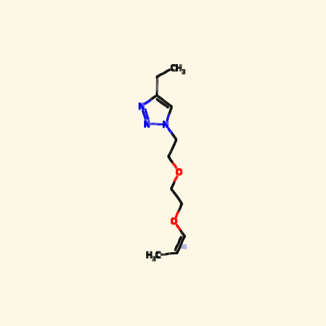 C/C=C\OCCOCCn1cc(CC)nn1